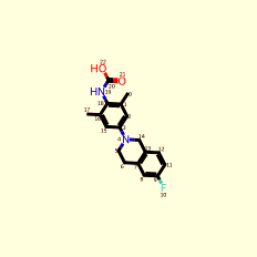 Cc1cc(N2CCc3cc(F)ccc3C2)cc(C)c1NC(=O)O